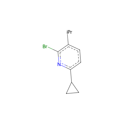 CC(C)c1ccc(C2CC2)nc1Br